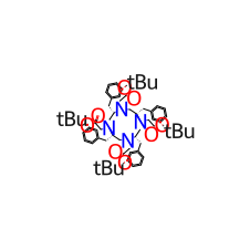 CC(C)(C)OC(=O)CN1C[C@H](Cc2ccccc2)N(CC(=O)OC(C)(C)C)C[C@H](Cc2ccccc2)N(CC(=O)OC(C)(C)C)C[C@H](Cc2ccccc2)N(CC(=O)OC(C)(C)C)C[C@@H]1Cc1ccccc1